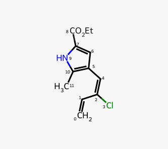 C=C/C(Cl)=C\c1cc(C(=O)OCC)[nH]c1C